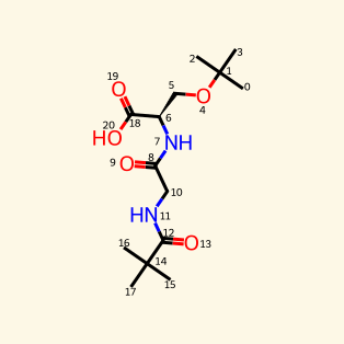 CC(C)(C)OC[C@@H](NC(=O)CNC(=O)C(C)(C)C)C(=O)O